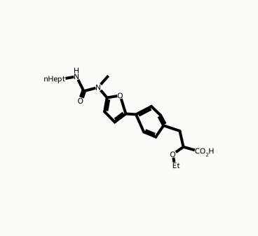 CCCCCCCNC(=O)N(C)c1ccc(-c2ccc(CC(OCC)C(=O)O)cc2)o1